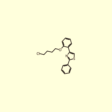 ClCCCCOc1ccccc1-c1csc(-c2ccccc2)n1